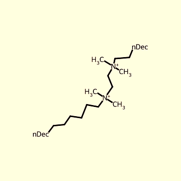 CCCCCCCCCCCCCCCC[N+](C)(C)CC[N+](C)(C)CCCCCCCCCCCC